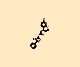 O=C(C[C@@H]1CCOc2nc(Cl)ccc21)Nc1nnc(-c2ccncc2)[nH]1